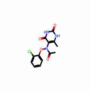 CC(=O)N(Oc1ccccc1Cl)c1c(C)[nH]c(=O)[nH]c1=O